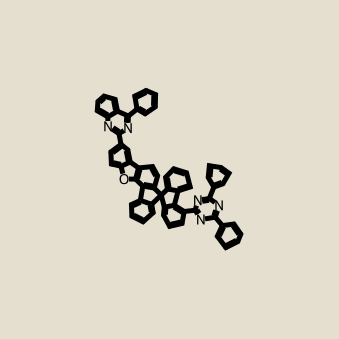 c1ccc(-c2nc(-c3ccccc3)nc(-c3cccc4c3-c3ccccc3C43c4ccccc4-c4c3ccc3c4oc4ccc(-c5nc(-c6ccccc6)c6ccccc6n5)cc43)n2)cc1